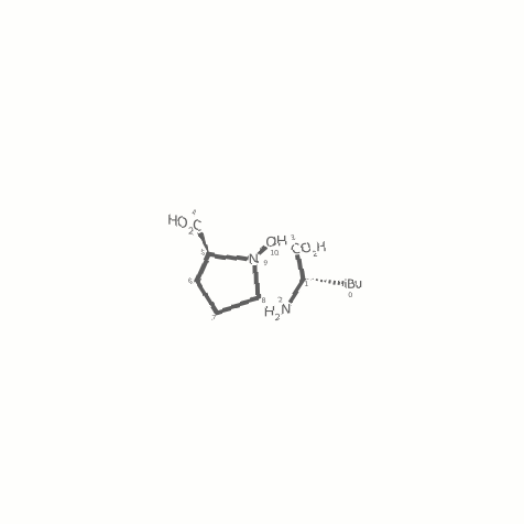 CCC(C)[C@H](N)C(=O)O.O=C(O)[C@@H]1CCCN1O